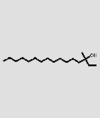 CCCCCCCCCCCCCC(C)(O)CC